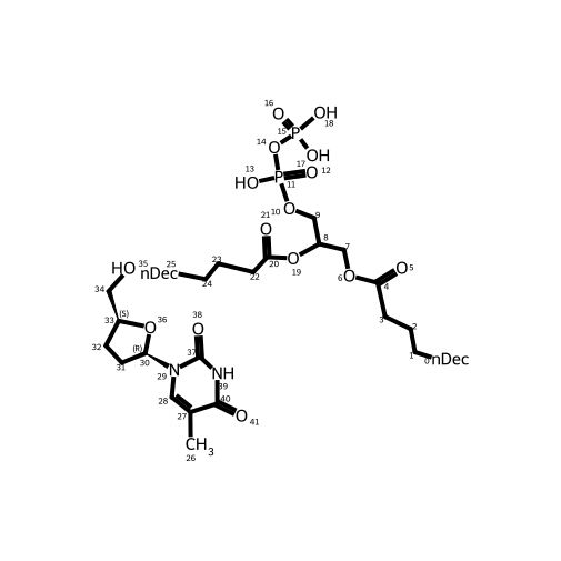 CCCCCCCCCCCCCC(=O)OCC(COP(=O)(O)OP(=O)(O)O)OC(=O)CCCCCCCCCCCCC.Cc1cn([C@H]2CC[C@@H](CO)O2)c(=O)[nH]c1=O